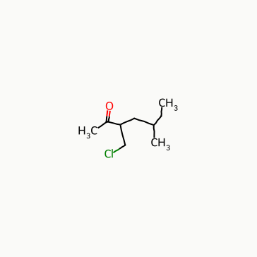 CCC(C)CC(CCl)C(C)=O